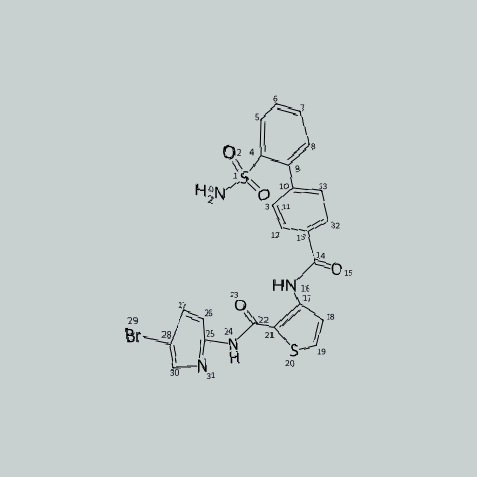 NS(=O)(=O)c1ccccc1-c1ccc(C(=O)Nc2ccsc2C(=O)Nc2ccc(Br)cn2)cc1